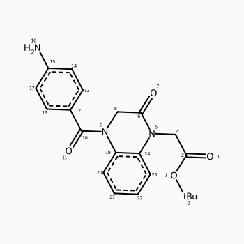 CC(C)(C)OC(=O)CN1C(=O)CN(C(=O)c2ccc(N)cc2)c2ccccc21